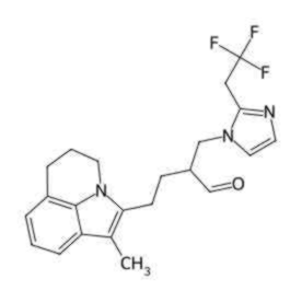 Cc1c(CCC(C=O)Cn2ccnc2CC(F)(F)F)n2c3c(cccc13)CCC2